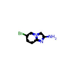 Nc1[c]n2cc(Br)ccc2n1